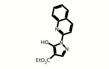 CCOC(=O)c1cnn(-c2ccc3ccccc3n2)c1O